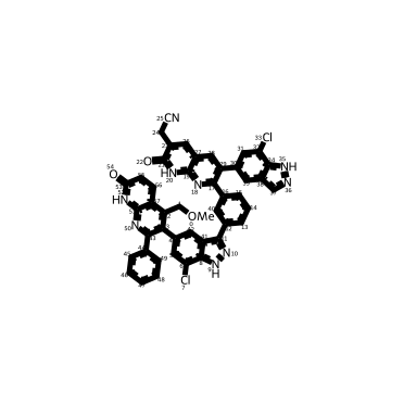 COCc1c(-c2cc(Cl)c3[nH]nc(-c4cccc(-c5nc6[nH]c(=O)c(CC#N)cc6cc5-c5cc(Cl)c6[nH]ncc6c5)c4)c3c2)c(-c2ccccc2)nc2[nH]c(=O)ccc12